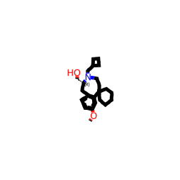 COc1ccc2c(c1)C1(CCCCC1)CCN(CC1CCC1)[C@@H](CO)C2